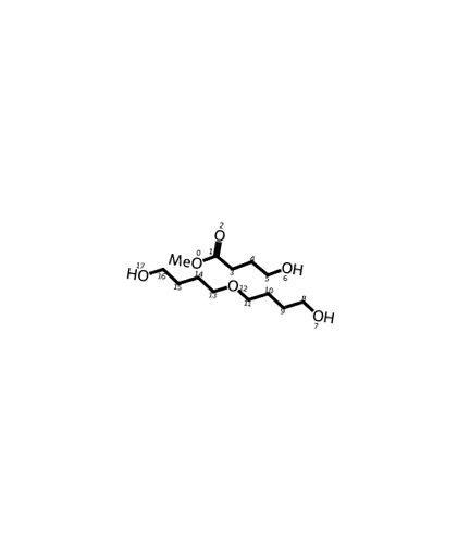 COC(=O)CCCO.OCCCCOCCCCO